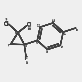 Cc1ccc(C2(F)CC2(Cl)Cl)cc1